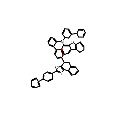 C1=CCC(C2=CC=CC(N(c3ccccc3-c3ccc(C4Cc5ccccc5-c5nc(-c6ccc(-c7ccccc7)cc6)oc54)cc3)c3cccc4c5c(oc34)C=CCC5)C2)C=C1